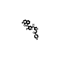 CN1CCN(C(=O)Cn2cc(Nc3cc(Nc4cccc5c4C(=O)N(C)CC5)c(F)cn3)cn2)CC1